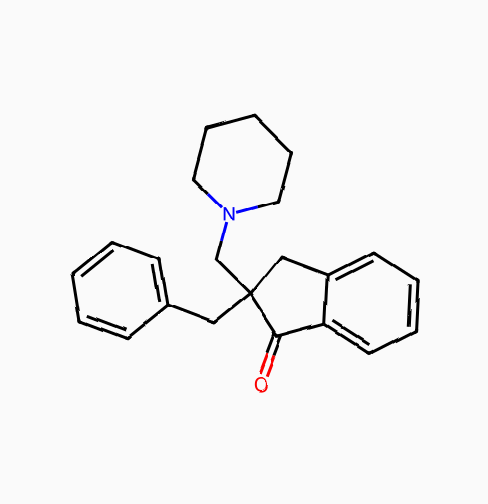 O=C1c2ccccc2CC1(Cc1ccccc1)CN1CCCCC1